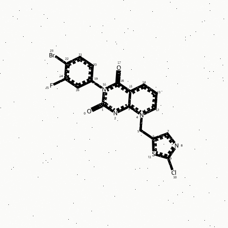 O=c1nc2n(Cc3cnc(Cl)s3)cccc-2c(=O)n1-c1ccc(Br)c(F)c1